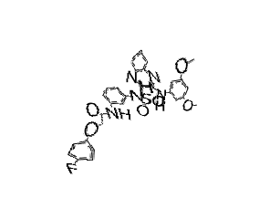 COc1cc(Nc2nc3ccccc3nc2N(c2cccc(NC(=O)COc3ccc(F)cc3)c2)[SH](=O)=O)cc(OC)c1